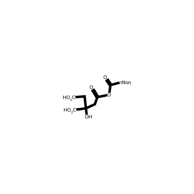 CCCCCCCCCC(=O)OC(=O)CC(O)(CC(=O)O)C(=O)O